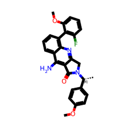 COc1ccc([C@@H](C)N2Cc3nc4c(-c5c(F)cccc5OC)cccc4c(N)c3C2=O)cc1